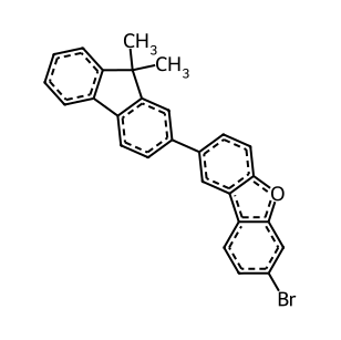 CC1(C)c2ccccc2-c2ccc(-c3ccc4oc5cc(Br)ccc5c4c3)cc21